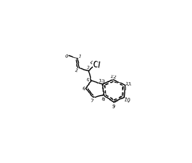 CC=CC(Cl)C1C=Cc2cc[c]cc21